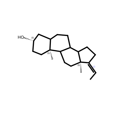 C/C=C1/CCC2C3CCC4C[C@@H](O)CC[C@]4(C)C3CC[C@]12C